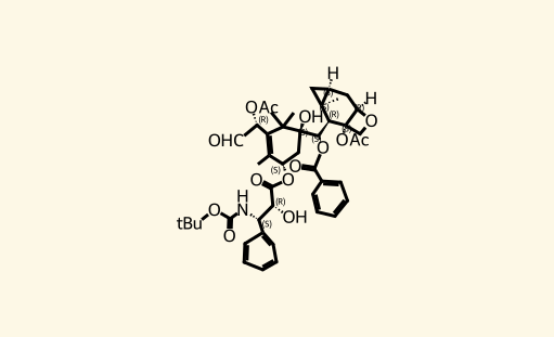 CC(=O)O[C@@H](C=O)C1=C(C)[C@@H](OC(=O)[C@H](O)[C@@H](NC(=O)OC(C)(C)C)c2ccccc2)C[C@@](O)([C@@H](OC(=O)c2ccccc2)[C@H]2[C@@]3(C)C[C@H]3C[C@H]3OC[C@]32OC(C)=O)C1(C)C